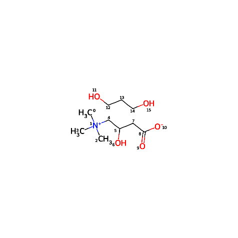 C[N+](C)(C)CC(O)CC(=O)[O-].OCCCO